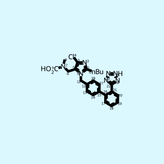 CCCCc1nc(Cl)c(CN(C)C(=O)O)n1Cc1ccc(-c2ccccc2-c2nn[nH]n2)cc1